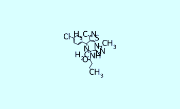 CCCC(=O)NC1(C)N=C(c2ccc(Cl)cc2)c2c(C)nsc2-n2c(C)nnc21